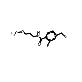 COCCCNC(=O)c1ccc(CBr)cc1F